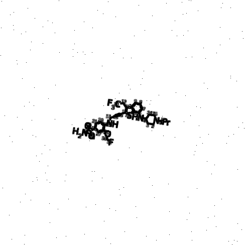 CC(C)N1CCC(Nc2cccc3c(CC(F)(F)F)c(C#CCNc4ccc(S(N)(=O)=O)cc4OCF)sc23)CC1